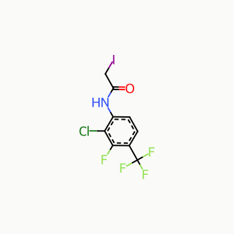 O=C(CI)Nc1ccc(C(F)(F)F)c(F)c1Cl